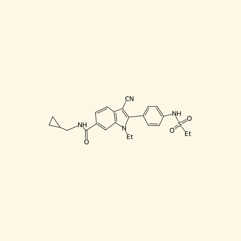 CCn1c(-c2ccc(NS(=O)(=O)CC)cc2)c(C#N)c2ccc(C(=O)NCC3CC3)cc21